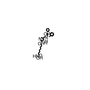 O=C(CCCCCCC(=O)Nc1cncc(CN[C@@H](Cc2ccccc2)C(=O)OC2CCCC2)c1)NO